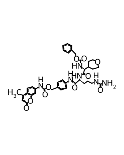 Cc1cc(=O)oc2cc(NC(=O)OCc3ccc(NC(=O)[C@H](CCCNC(N)=O)NC(=O)[C@@H](NC(=O)OCc4ccccc4)C4CCOCC4)cc3)ccc12